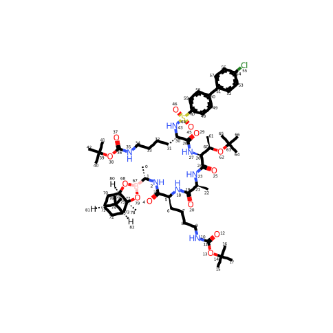 C[C@H](NC(=O)[C@H](CCCCNC(=O)OC(C)(C)C)NC(=O)[C@H](C)NC(=O)[C@@H](NC(=O)[C@H](CCCCNC(=O)OC(C)(C)C)NS(=O)(=O)c1ccc(-c2ccc(Cl)cc2)cc1)[C@@H](C)OC(C)(C)C)B1O[C@@H]2C[C@@H]3C[C@@H](C3(C)C)[C@]2(C)O1